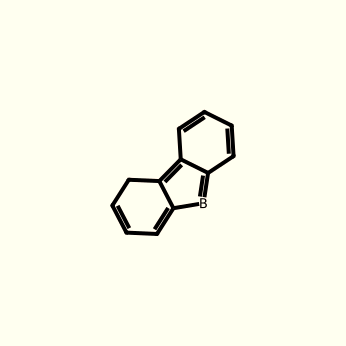 B1=c2ccccc2=C2CC=CC=C12